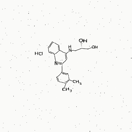 Cc1ccc(-c2cc(NC[C@H](O)CO)c3ccccc3n2)cc1C.Cl